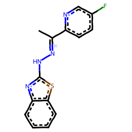 C/C(=N\Nc1nc2ccccc2s1)c1ccc(F)cn1